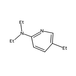 CCc1ccc(N(CC)CC)nc1